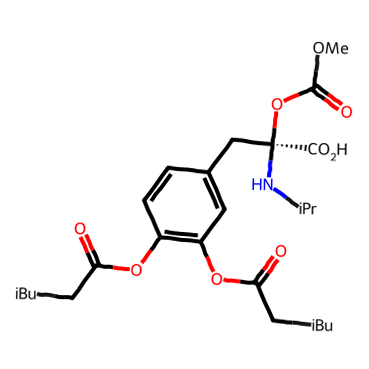 CCC(C)CC(=O)Oc1ccc(C[C@](NC(C)C)(OC(=O)OC)C(=O)O)cc1OC(=O)CC(C)CC